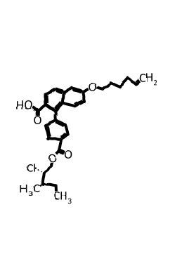 C=CCCCCOc1ccc2c(-c3ccc(C(=O)OC[C@@H](Cl)[C@@H](C)CC)cc3)c(C(=O)O)ccc2c1